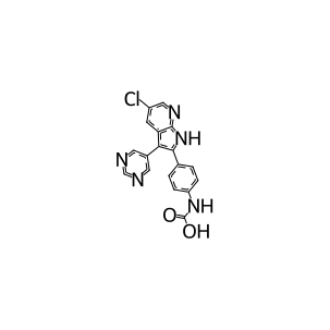 O=C(O)Nc1ccc(-c2[nH]c3ncc(Cl)cc3c2-c2cncnc2)cc1